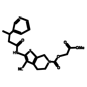 COC(=O)COC(=O)N1CCc2c(sc(NC(=O)CC(C)c3cccnc3)c2C#N)C1